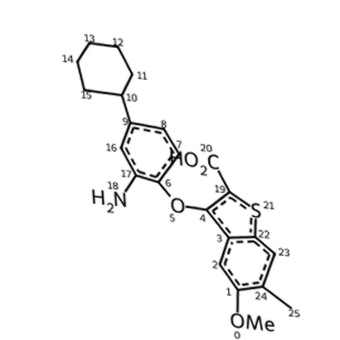 COc1cc2c(Oc3ccc(C4CCCCC4)cc3N)c(C(=O)O)sc2cc1C